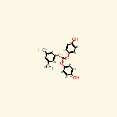 Cc1cc(C)cc(OB(Oc2ccc(O)cc2)Oc2ccc(O)cc2)c1